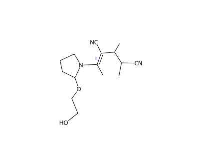 C/C(=C(/C#N)C(C)C(C)C#N)N1CCCC1OCCO